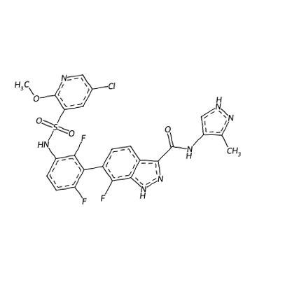 COc1ncc(Cl)cc1S(=O)(=O)Nc1ccc(F)c(-c2ccc3c(C(=O)Nc4c[nH]nc4C)n[nH]c3c2F)c1F